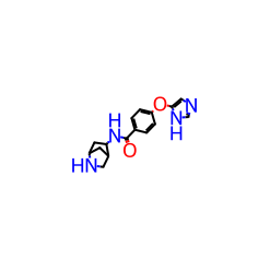 O=C(NC1CC2CC1CN2)c1ccc(Oc2cnc[nH]2)cc1